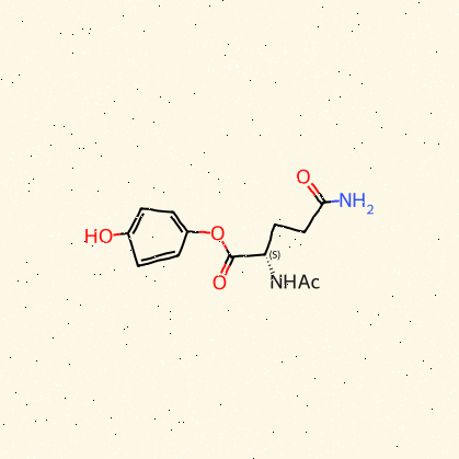 CC(=O)N[C@@H](CCC(N)=O)C(=O)Oc1ccc(O)cc1